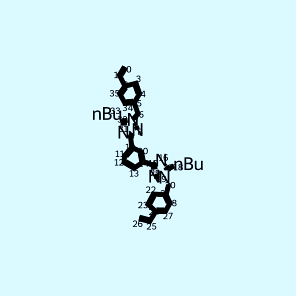 C=Cc1ccc(Cn2nc(-c3cccc(-c4nc(CCCC)n(Cc5ccc(C=C)cc5)n4)c3)nc2CCCC)cc1